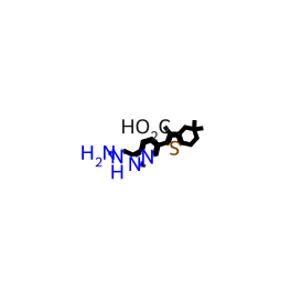 CC1(C)CCc2sc(-c3ccc4c(CNN)ncn4c3)c(C(=O)O)c2C1